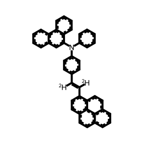 [2H]/C(=C(/[2H])c1ccc2ccc3cccc4ccc1c2c34)c1ccc(N(c2ccccc2)c2cc3ccccc3c3ccccc23)cc1